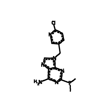 CP(C)c1nc(N)c2ncn(Cc3ccc(Cl)nc3)c2n1